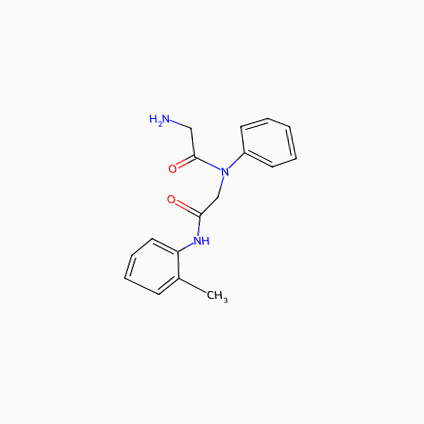 Cc1ccccc1NC(=O)CN(C(=O)CN)c1ccccc1